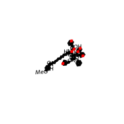 CC[C@@H](O)[C@@H](OCc1ccccc1)[C@H](CO[C@H]1OC(COCc2ccccc2)[C@H](OCc2ccccc2)C(OCc2ccccc2)C1OCc1ccccc1)NC(=O)CCCCCCCCCCCNC(=O)c1ccc(OC)cc1